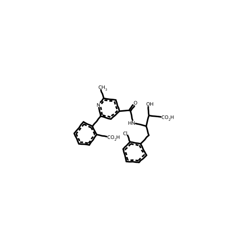 Cc1cc(C(=O)NC(Cc2ccccc2Cl)C(O)C(=O)O)cc(-c2ccccc2C(=O)O)n1